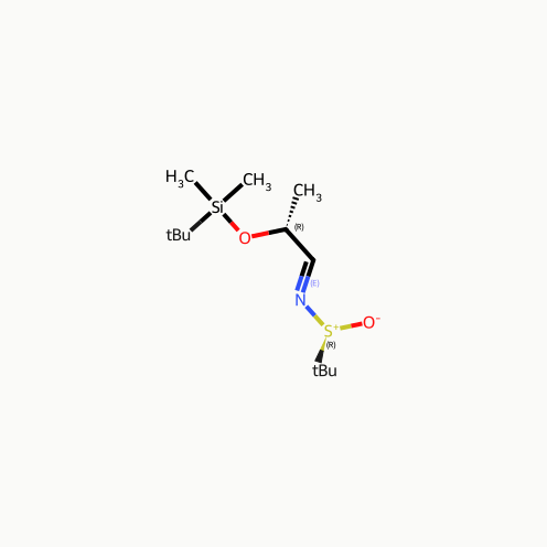 C[C@H](/C=N/[S@@+]([O-])C(C)(C)C)O[Si](C)(C)C(C)(C)C